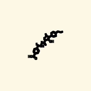 CCCc1ccc(-c2c(O)c(/C(C)=N/NC(=S)c3ccc(C(=O)O)cc3)nn2C)cc1